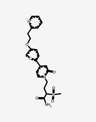 CS(=O)(=O)C(CCn1ccc(-c2ccc(OCCc3ccccn3)cc2)cc1=O)C(N)=O